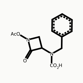 CC(=O)ON1CC(N(Cc2ccccc2)C(=O)O)C1=O